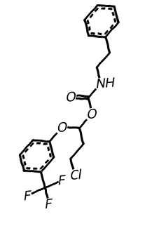 O=C(NCCc1ccccc1)OC(CCCl)Oc1cccc(C(F)(F)F)c1